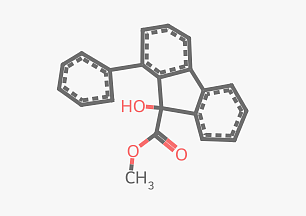 COC(=O)C1(O)c2ccccc2-c2cccc(-c3ccccc3)c21